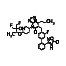 CCCc1c(Cc2ccc(-c3ccccc3-c3noc(=O)[nH]3)cc2F)c(=O)n(C2CCC(OC(C)C(O)(CF)CF)CC2)c2ncnn12